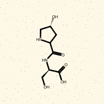 O=C(N[C@H](CO)C(=O)O)C1C[C@@H](O)CN1